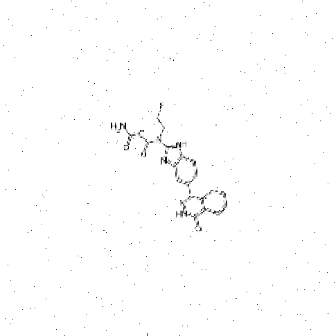 NC(=O)OC(=O)N(CCF)c1nc2cc(-c3n[nH]c(=O)c4ccccc34)ccc2[nH]1